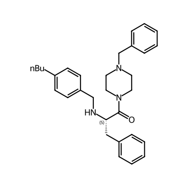 CCCCc1ccc(CN[C@@H](Cc2ccccc2)C(=O)N2CCN(Cc3ccccc3)CC2)cc1